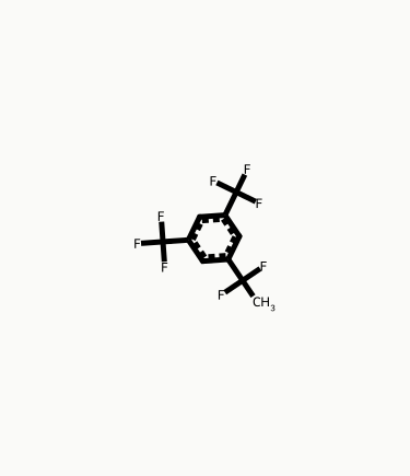 CC(F)(F)c1cc(C(F)(F)F)cc(C(F)(F)F)c1